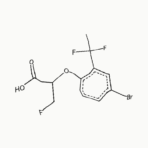 CC(F)(F)c1cc(Br)ccc1OC(CF)C(=O)O